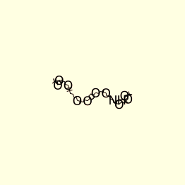 C=C(C)C(=O)OC(C)(C)CCOC(C)(C)CNCCCOC(C)(C)CCOc1ccc(OCCC(C)(C)OCCCCC(C)(C)C(C)(C)OCCC(C)(C)OC(=O)C(=C)C)cc1